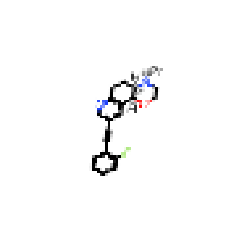 CCCN1CCO[C@H]2c3cc(C#Cc4ccccc4F)cnc3CC[C@H]21